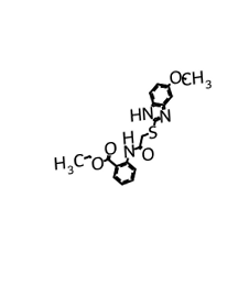 CCOC(=O)c1ccccc1NC(=O)CSc1nc2cc(OC)ccc2[nH]1